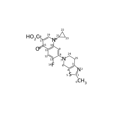 Cc1nc2c(s1)CN(c1cc3c(cc1F)c(=O)c(C(=O)O)cn3C1CC1)CC2